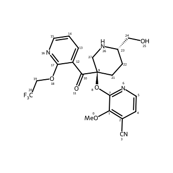 COc1c(C#N)ccnc1O[C@]1(C(=O)c2cccnc2OCC(F)(F)F)CC[C@@H](CO)NC1